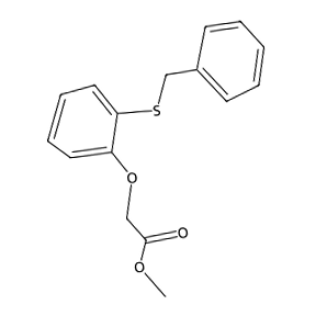 COC(=O)COc1ccccc1SCc1ccccc1